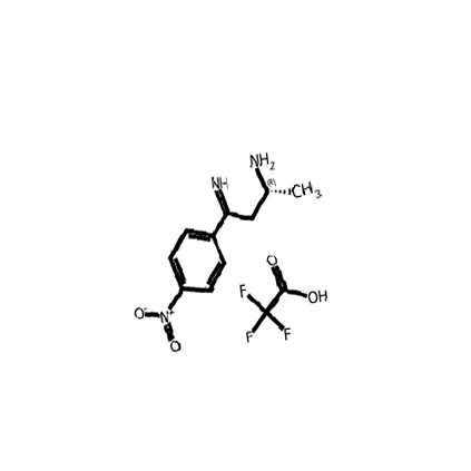 C[C@@H](N)CC(=N)c1ccc([N+](=O)[O-])cc1.O=C(O)C(F)(F)F